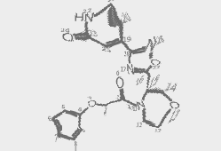 O=C(COc1ccccc1)N1CCOC[C@@H]1c1nc(-c2cc[nH]c(=O)c2)no1